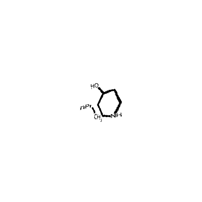 CCCC.OC1CCNCC1